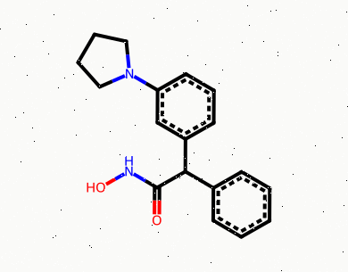 O=C(NO)C(c1ccccc1)c1cccc(N2CCCC2)c1